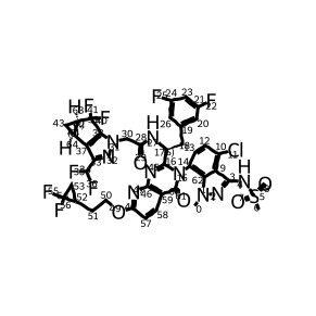 Cn1nc(NS(C)(=O)=O)c2c(Cl)ccc(-n3c([C@H](Cc4cc(F)cc(F)c4)NC(=O)Cn4nc(C(F)F)c5c4C(F)(F)[C@@H]4C[C@H]54)nc4nc(OCCC5CC5(F)F)ccc4c3=O)c21